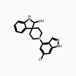 OC1Nc2ccccc2C12CCN(c1cc(Cl)cc3[nH]ncc13)CC2